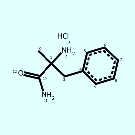 CC(N)(Cc1ccccc1)C(N)=O.Cl